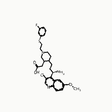 COc1ccc2ncc(Cl)c([C@H](N)CCC3CCN(CCSc4cccc(F)c4)CC3CC(=O)O)c2c1